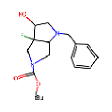 CC(C)(C)OC(=O)N1CC2N(Cc3ccccc3)CC(O)C2(F)C1